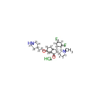 CN1C=CC=C(C2=C(c3cc(F)cc(F)c3)c3ccc(OCCC4CCNCC4)cc3C2=O)C1.Cl